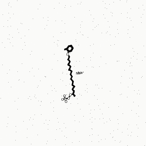 Cc1ccccc1OCCCCCCCCCCCCCCCC(C)OOP(=O)([O-])[O-].[Na+].[Na+]